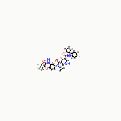 CC1(C)Oc2ccc(N(C(=O)[C@H]3CNC[C@@H](C(=O)NC4(c5ccccc5)CCCC4)C3)C3CC3)cc2NC1=O